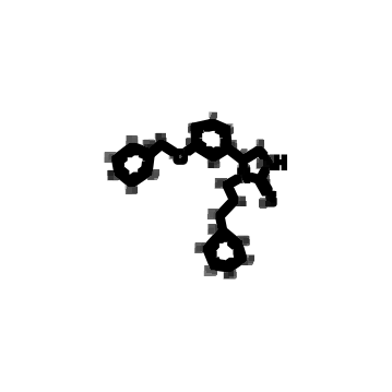 S=C1NCC(c2cccc(OCc3ccccc3)c2)N1CCCc1ccccc1